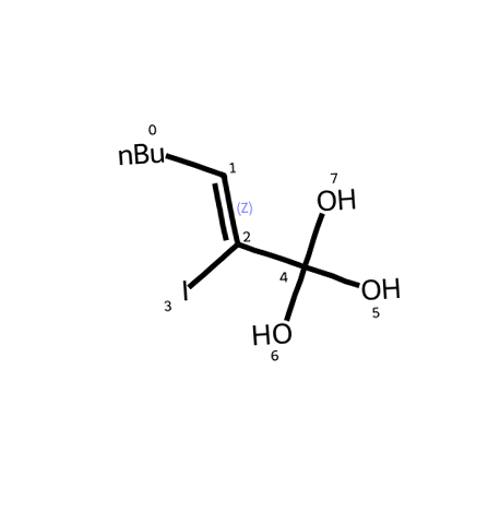 CCCC/C=C(\I)C(O)(O)O